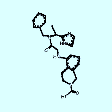 CCC(=O)N1CCc2c(cccc2NCC(=O)N(Cc2ccccc2)C(C)c2ncc[nH]2)C1